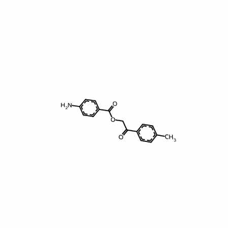 Cc1ccc(C(=O)COC(=O)c2ccc(N)cc2)cc1